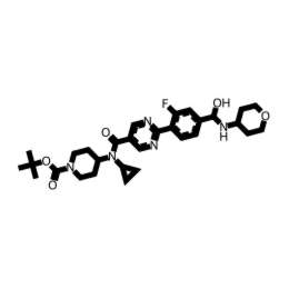 CC(C)(C)OC(=O)N1CCC(N(C(=O)c2cnc(-c3ccc(C(O)NC4CCOCC4)cc3F)nc2)C2CC2)CC1